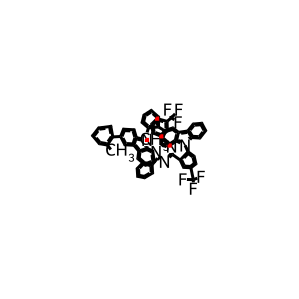 Cc1ccccc1-c1ccc2c(c1)c1ccccc1n2-c1ccc(C(F)(F)F)cc1-c1nc(-c2ccccc2)nc(-c2cc(C(F)(F)F)ccc2-n2c3ccccc3c3cc(-c4ccccc4C)ccc32)n1